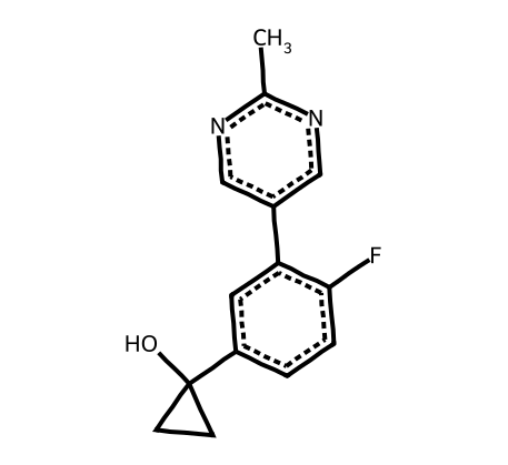 Cc1ncc(-c2cc(C3(O)CC3)ccc2F)cn1